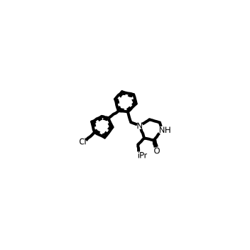 CC(C)CC1C(=O)NCCN1Cc1ccccc1-c1ccc(Cl)cc1